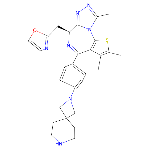 Cc1sc2c(c1C)C(c1ccc(N3CC4(CCNCC4)C3)cc1)=N[C@@H](Cc1ncco1)c1nnc(C)n1-2